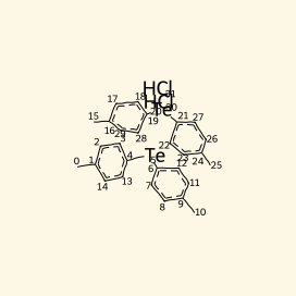 Cc1ccc([Te]c2ccc(C)cc2)cc1.Cc1ccc([Te]c2ccc(C)cc2)cc1.Cl.Cl